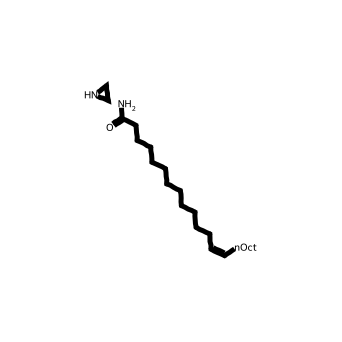 C1CN1.CCCCCCCC/C=C\CCCCCCCCCCCC(N)=O